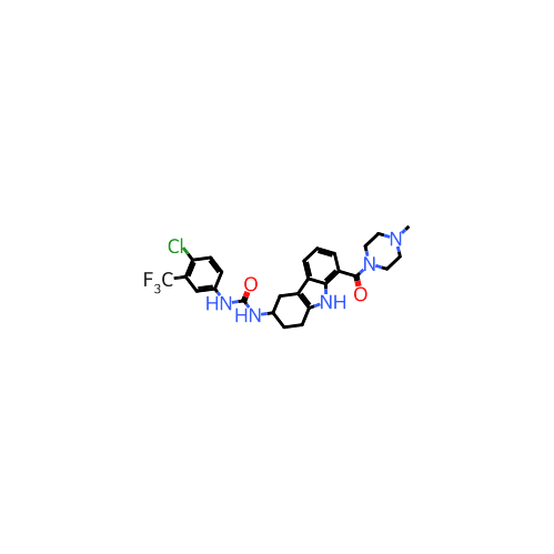 CN1CCN(C(=O)c2cccc3c4c([nH]c23)CCC(NC(=O)Nc2ccc(Cl)c(C(F)(F)F)c2)C4)CC1